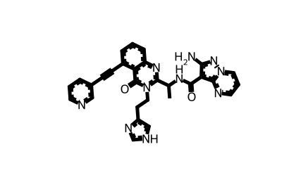 CC(NC(=O)c1c(N)nn2cccnc12)c1nc2cccc(C#Cc3cccnc3)c2c(=O)n1CCc1c[nH]cn1